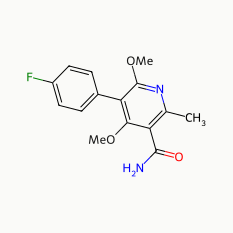 COc1nc(C)c(C(N)=O)c(OC)c1-c1ccc(F)cc1